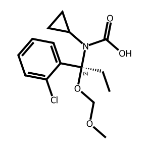 CC[C@](OCOC)(c1ccccc1Cl)N(C(=O)O)C1CC1